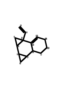 C=CC12CC1C1CC1C1CCCC=C12